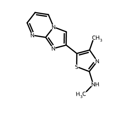 CNc1nc(C)c(-c2cn3cccnc3n2)s1